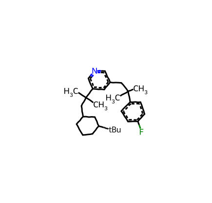 CC(C)(Cc1cncc(C(C)(C)CC2CCCC(C(C)(C)C)C2)c1)c1ccc(F)cc1